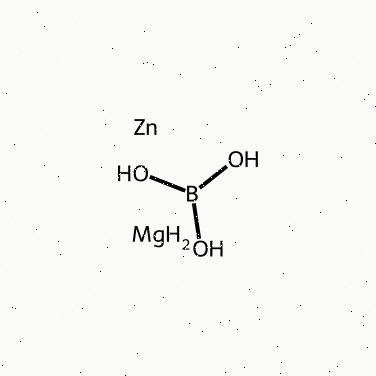 OB(O)O.[MgH2].[Zn]